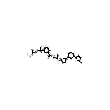 Cn1ccc(-c2cccc(-c3csc(NC(=O)CNC(=O)c4cccc(C(C)(C)COC(N)=O)c4)n3)c2)n1